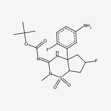 CN1/C(=N/C(=O)OC(C)(C)C)NC2(c3cc(N)ccc3F)CC(F)CC2S1(=O)=O